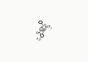 O=C1c2cc(C(F)(F)F)ccc2C[C@@H]2C(OC(=O)C(F)(F)F)N(Cc3ccccc3)CCN12